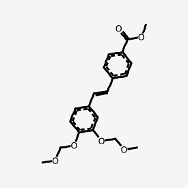 COCOc1ccc(C=Cc2ccc(C(=O)OC)cc2)cc1OCOC